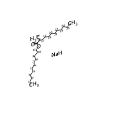 CCCCCCCCCCCCOC(=O)C(C)CCCCCCCCCC.[NaH]